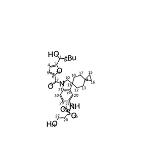 CC(C)(C)[C@H](O)c1ccc(C(=O)N2CC3(CCC4(CC4)CC3)c3cc(NS(=O)(=O)CCO)ccc32)o1